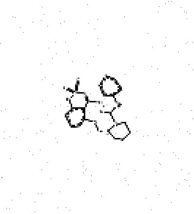 NC1=NS(=O)(=O)Nc2cccc(OC[C@H]3CCCCN3C(O)Nc3ccncc3)c21